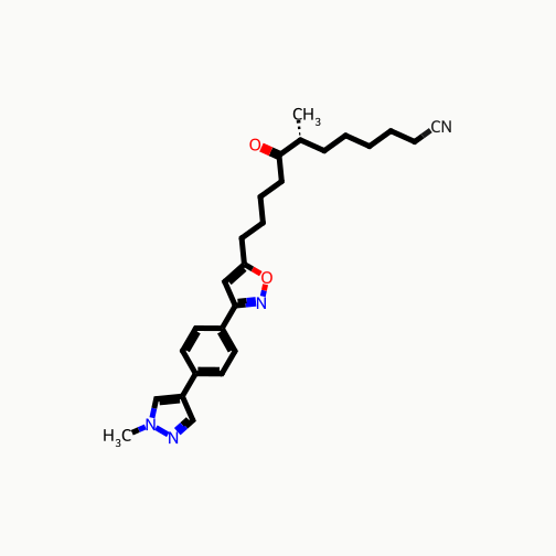 C[C@H](CCCCCC#N)C(=O)CCCCc1cc(-c2ccc(-c3cnn(C)c3)cc2)no1